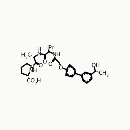 CC(C)C(NC(=O)COc1ccc(-c2cccc([C@@H](C)O)c2)cc1)C(=O)N[C@@H](C)C(=O)N1CCC[C@@H](C(=O)O)N1